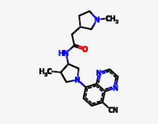 CC1CN(c2ccc(C#N)c3nccnc23)CC1NC(=O)CC1CCN(C)C1